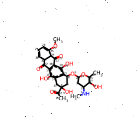 CNC1CC(OC2CC(O)(C(C)=O)Cc3c(O)c4c(c(O)c32)C(=O)C2C(OC)=CC=CC2C4=O)OC(C)C1O